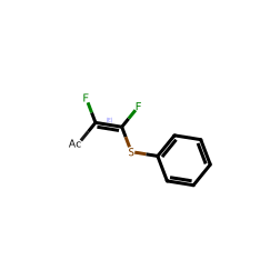 CC(=O)/C(F)=C(/F)Sc1ccccc1